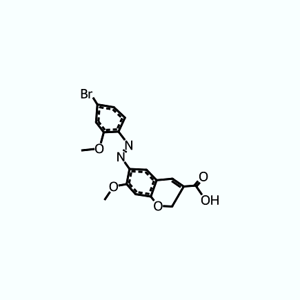 COc1cc(Br)ccc1N=Nc1cc2c(cc1OC)OCC(C(=O)O)=C2